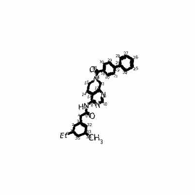 CCC1CC(CC(=O)Nc2ncnc3c2CCN(C(=O)c2ccc(-c4ccccc4)cc2)C3)=CC(C)C1